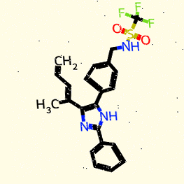 C=C/C=C(\C)c1nc(-c2ccccc2)[nH]c1-c1ccc(CNS(=O)(=O)C(F)(F)F)cc1